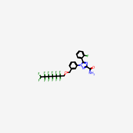 NC(=O)c1nc(-c2ccccc2F)n(-c2cccc(COCC(F)(F)C(F)(F)C(F)(F)C(F)(F)C(F)(F)C(F)F)c2)n1